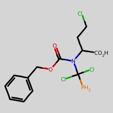 O=C(O)C(CCCl)N(C(=O)OCc1ccccc1)C(P)(Cl)Cl